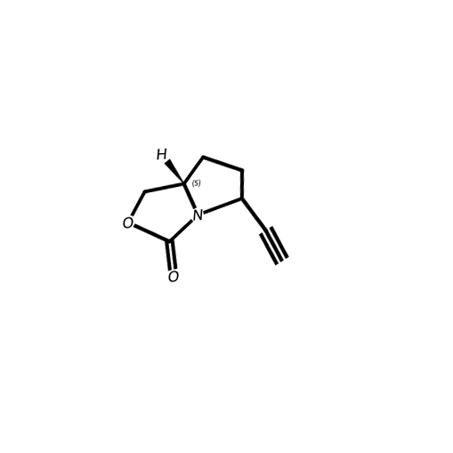 C#CC1CC[C@H]2COC(=O)N12